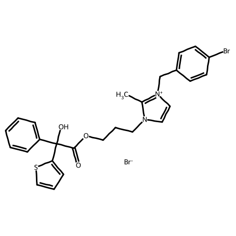 Cc1n(CCCOC(=O)C(O)(c2ccccc2)c2cccs2)cc[n+]1Cc1ccc(Br)cc1.[Br-]